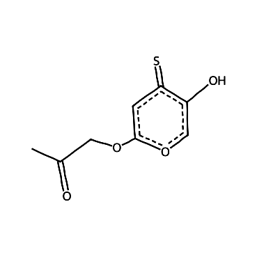 CC(=O)COc1cc(=S)c(O)co1